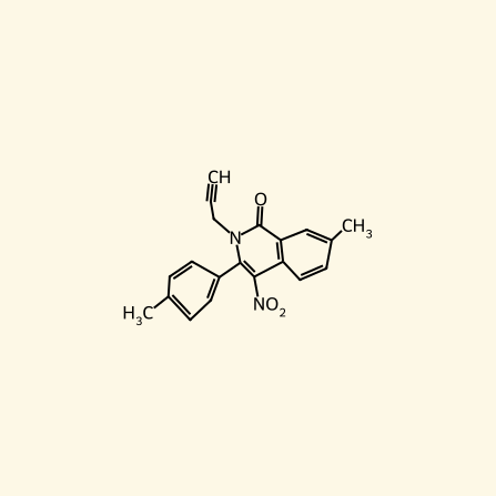 C#CCn1c(-c2ccc(C)cc2)c([N+](=O)[O-])c2ccc(C)cc2c1=O